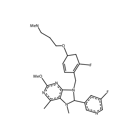 CNCCCOC1C=CC(CN2c3nc(OC)nc(C)c3N(C)C2c2cncc(F)c2)=C(F)C1